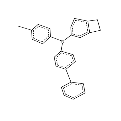 Cc1ccc(N(c2ccc(-c3ccccc3)cc2)c2ccc3c(c2)CC3)cc1